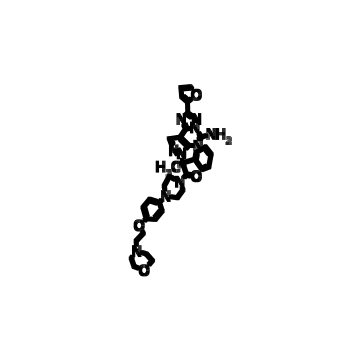 C[C@](C(=O)N1CCN(c2ccc(OCCN3CCOCC3)cc2)CC1)(c1ccccc1)n1ncc2c1nc(N)n1nc(-c3ccco3)nc21